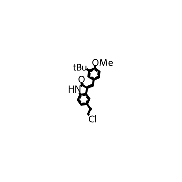 COc1ccc(C=C2C(=O)Nc3ccc(CCCl)cc32)cc1C(C)(C)C